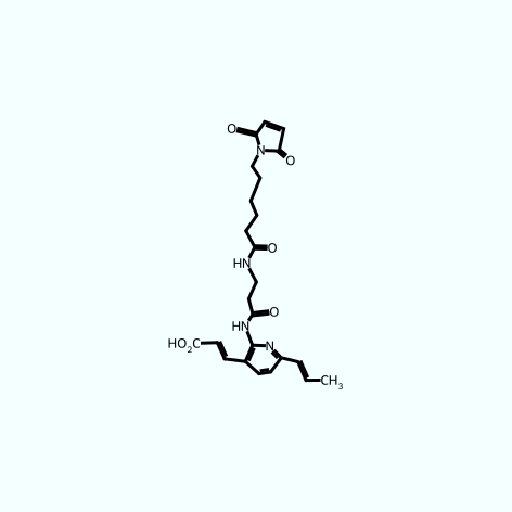 C/C=C/c1ccc(/C=C/C(=O)O)c(NC(=O)CCNC(=O)CCCCCN2C(=O)C=CC2=O)n1